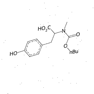 CCCCOC(=O)N(C)C(Cc1ccc(O)cc1)C(=O)O